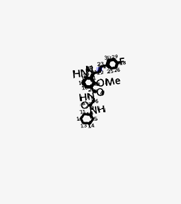 COc1c(C(=O)NCC(=O)NC2CCCCC2)ccc2[nH]nc(/C=C/c3ccc(F)cc3)c12